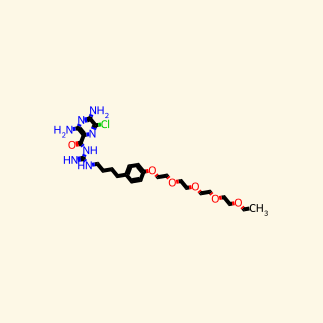 CCOCCOCCOCCOCCOc1ccc(CCCCNC(=N)NC(=O)c2nc(Cl)c(N)nc2N)cc1